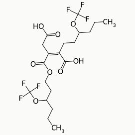 CCCC(CCOC(=O)C(CC(=O)O)=C(CCC(CCC)OC(F)(F)F)C(=O)O)OC(F)(F)F